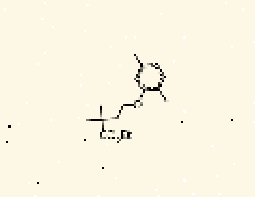 CCOC(=O)C(C)(C)CCOc1cc(C)ccc1C